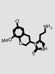 COc1cc(Cl)cc2c1OCC(n1c(CCN)c[nH]c1=S)C2